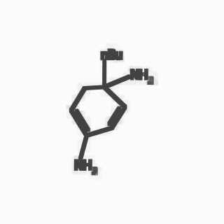 CCCCC1(N)C=CC(N)=CC1